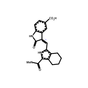 CNC(=O)c1[nH]c(/C=C2\C(=O)Nc3ccc(C(=O)O)cc32)c2c1CCCC2